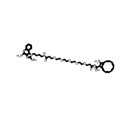 CCCCc1nc2c(N)nc3ccccc3c2n1CCCCNC(=O)CCOCCOCCOCCOCCOCCC(=O)NC(O)C1/C2=C/C=C\C=C/C=C\C=C/C(=C2)C1N